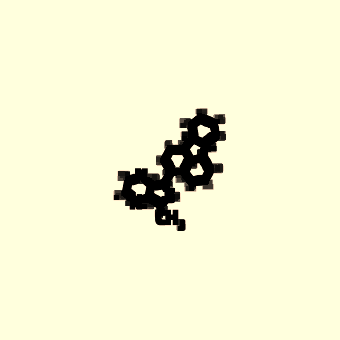 Cc1sc(-c2ccc3c4c(cccc24)-c2ccccc2-3)c2nccnc12